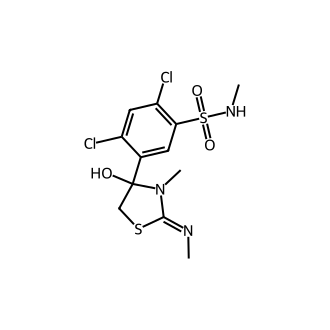 CN=C1SCC(O)(c2cc(S(=O)(=O)NC)c(Cl)cc2Cl)N1C